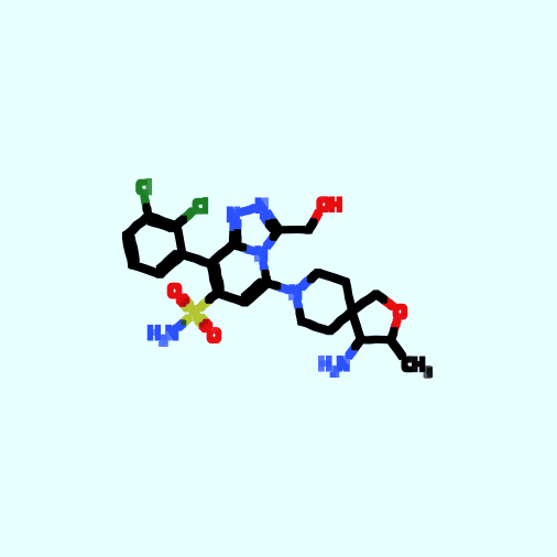 CC1OCC2(CCN(c3cc(S(N)(=O)=O)c(-c4cccc(Cl)c4Cl)c4nnc(CO)n34)CC2)C1N